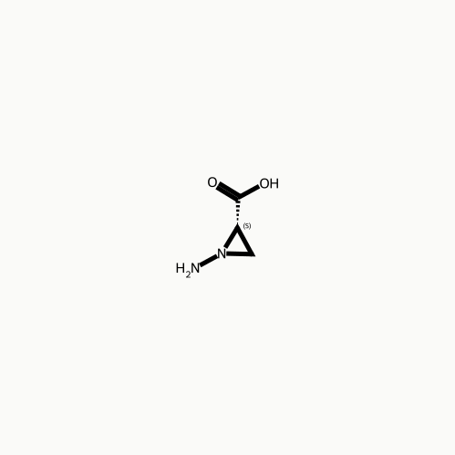 NN1C[C@H]1C(=O)O